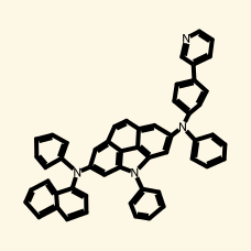 c1ccc(N(c2ccc(-c3cccnc3)cc2)c2cc3ccc4cc(N(c5ccccc5)c5cccc6ccccc56)cc5c4c3c(c2)n5-c2ccccc2)cc1